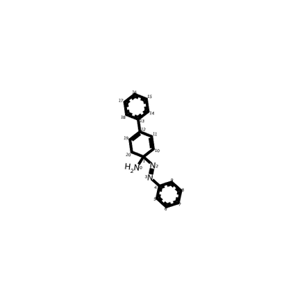 NC1(N=Nc2ccccc2)C=CC(c2ccccc2)=CC1